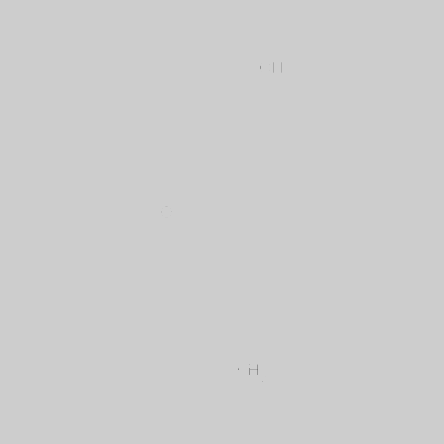 [CH2]c1ccc(Oc2ccc(O)cc2)cc1